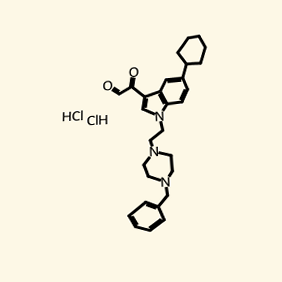 Cl.Cl.O=CC(=O)c1cn(CCN2CCN(Cc3ccccc3)CC2)c2ccc(C3CCCCC3)cc12